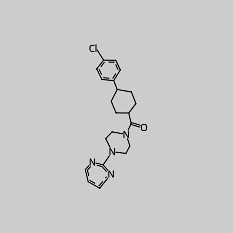 O=C(C1CCC(c2ccc(Cl)cc2)CC1)N1CCN(c2ncccn2)CC1